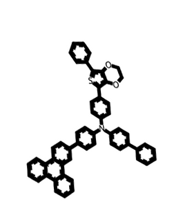 c1ccc(-c2ccc(N(c3ccc(-c4ccc5c6ccccc6c6ccccc6c5c4)cc3)c3ccc(-c4sc(-c5ccccc5)c5c4OCCO5)cc3)cc2)cc1